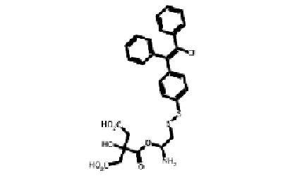 NC(CSSc1ccc(C(=C(Cl)c2ccccc2)c2ccccc2)cc1)OC(=O)C(O)(CC(=O)O)CC(=O)O